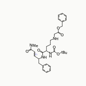 CNC(=O)/C=C/C(Cc1ccccc1)NC(=O)C(CCCNCC(=O)OCc1ccccc1)NC(=O)OC(C)(C)C